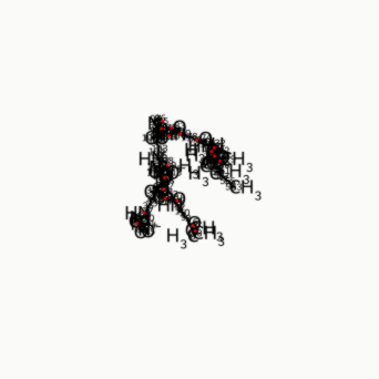 CC(C)(C)OC(=O)CCCCCCNC(=O)c1ccc(S(=O)(=O)N(Cc2ccccn2)C(=O)CCCCCNc2ccc([N+](=O)[O-])c3nonc23)cc1.CCCCCCC(C)(C)c1cc(OC)c([C@H]2C=C(CNC(=O)CCCCCCNC(=O)c3ccc(S(=O)(=O)N(Cc4ccccn4)C(=O)CCCCCNc4ccc([N+](=O)[O-])c5nonc45)cc3)[C@H]3C[C@@H]2C3(C)C)c(OC)c1